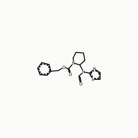 O=CN(c1nccs1)C1CCCCN1C(=O)OCc1ccccc1